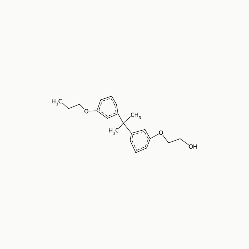 CCCOc1cccc(C(C)(C)c2cccc(OCCO)c2)c1